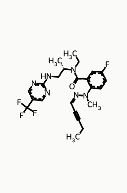 CCC#C/C=N\N(C)c1ccc(F)cc1C(=O)N(CC)[C@@H](C)CNc1ncc(C(F)(F)F)cn1